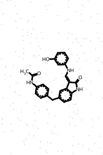 CC(=O)Nc1ccc(Cc2ccc3c(c2)C(=CNc2cccc(O)c2)C(=O)N3)cc1